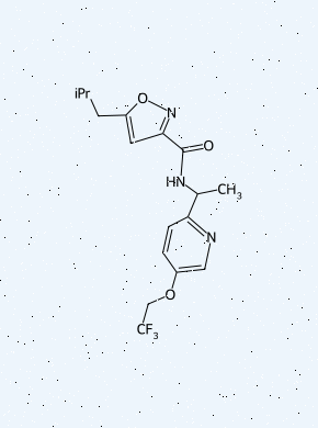 CC(C)Cc1cc(C(=O)NC(C)c2ccc(OCC(F)(F)F)cn2)no1